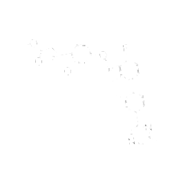 COC(=O)C[C@@H]1COc2cc(O[C@@H]3CCc4c(-c5c(C)cc(-c6cncc(C)n6)cc5C)ccc(F)c43)ccc21